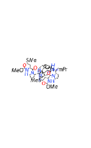 CCC/C=C(/N/C=C(\C)c1cc2ccc1CCc1ccc(c(-c3c[nH]c(C4CCCN4C(=O)C(CCSC)NC(=O)OC)n3)c1)CC2)C1CCCN1C(=O)C(CCSC)NC(=O)OC